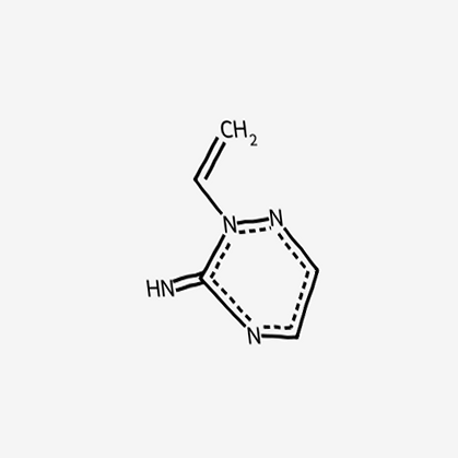 C=Cn1nccnc1=N